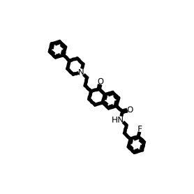 O=C(NCCc1ccccc1F)c1ccc2c(c1)CCC(CCN1CCC(c3ccccc3)CC1)C2=O